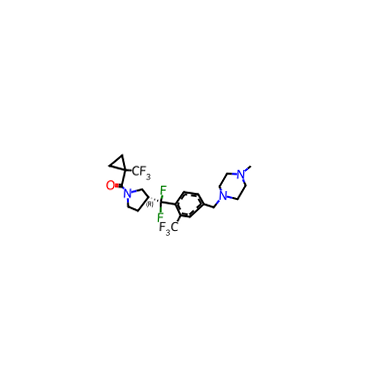 CN1CCN(Cc2ccc(C(F)(F)[C@@H]3CCN(C(=O)C4(C(F)(F)F)CC4)C3)c(C(F)(F)F)c2)CC1